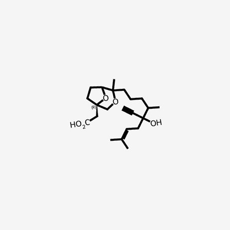 C#CC(O)(CC=C(C)C)C(C)CCCC1(C)OC[C@]2(CC(=O)O)CCC1O2